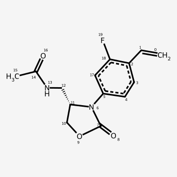 C=Cc1ccc(N2C(=O)OC[C@@H]2CNC(C)=O)cc1F